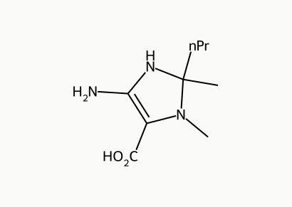 CCCC1(C)NC(N)=C(C(=O)O)N1C